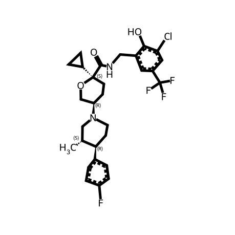 C[C@@H]1CN([C@@H]2CC[C@@](C(=O)NCc3cc(C(F)(F)F)cc(Cl)c3O)(C3CC3)OC2)CC[C@H]1c1ccc(F)cc1